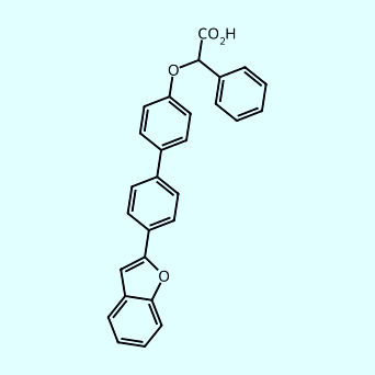 O=C(O)C(Oc1ccc(-c2ccc(-c3cc4ccccc4o3)cc2)cc1)c1ccccc1